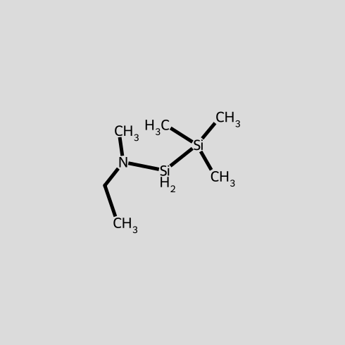 CCN(C)[SiH2][Si](C)(C)C